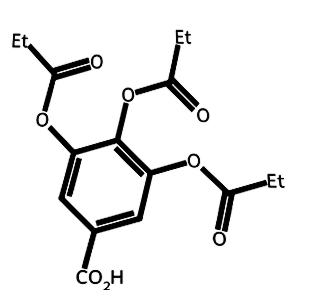 CCC(=O)Oc1cc(C(=O)O)cc(OC(=O)CC)c1OC(=O)CC